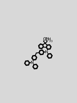 CCC1(CC)c2ccccc2-c2c(N(c3ccccc3)c3ccc(Cc4ccc(N(c5ccccc5)c5ccccc5)cc4)cc3)cccc21